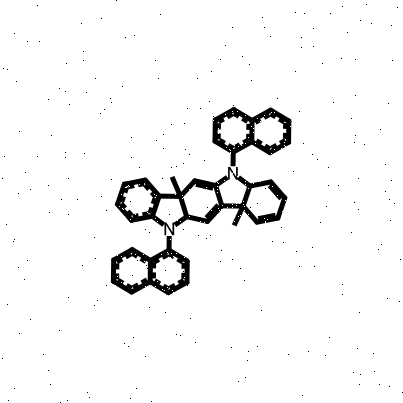 CC12C=CC=CC1N(c1cccc3ccccc13)C1=CC3(C)c4ccccc4N(c4cccc5ccccc45)C3C=C12